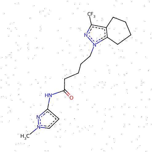 Cn1ccc(NC(=O)CCCCn2nc(C(F)(F)F)c3c2CCCC3)n1